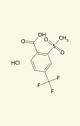 CS(=O)(=O)c1cc(C(F)(F)F)ccc1C(=O)O.Cl